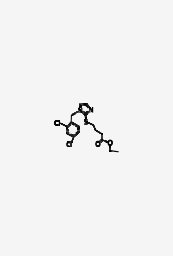 CCOC(=O)CCCSc1nccn1Cc1ccc(Cl)cc1Cl